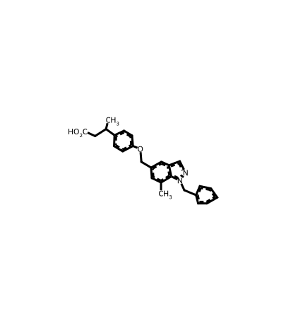 Cc1cc(COc2ccc(C(C)CC(=O)O)cc2)cc2cnn(Cc3ccccc3)c12